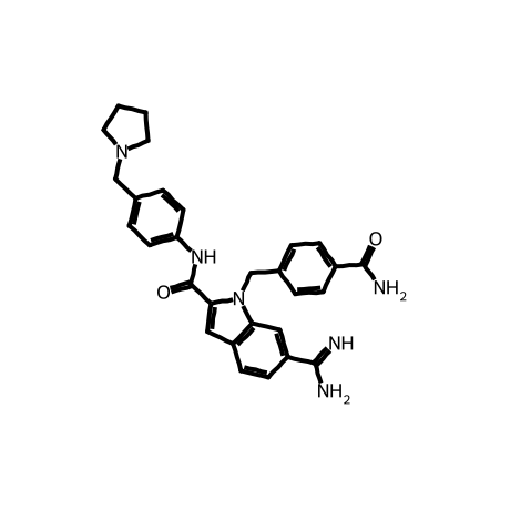 N=C(N)c1ccc2cc(C(=O)Nc3ccc(CN4CCCC4)cc3)n(Cc3ccc(C(N)=O)cc3)c2c1